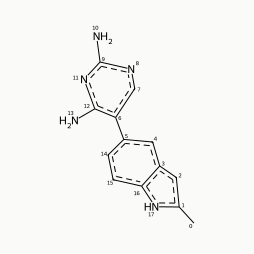 Cc1cc2cc(-c3cnc(N)nc3N)ccc2[nH]1